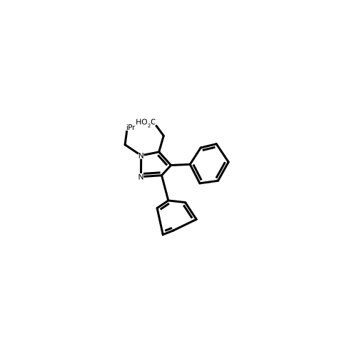 CC(C)Cn1nc(-c2ccccc2)c(-c2ccccc2)c1CC(=O)O